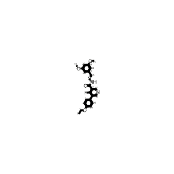 CCOc1ccc(-c2cncc(C(=O)NN=Cc3cc(OC)cc(OC)c3)c2F)cc1